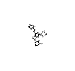 Fc1cccc(N2CCc3c(OCc4cccnn4)nc(N4CCOCC4)nc32)c1